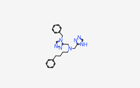 c1ccc(CCCCN(Cc2nnc[nH]2)Cc2nncn2Cc2ccccc2)cc1